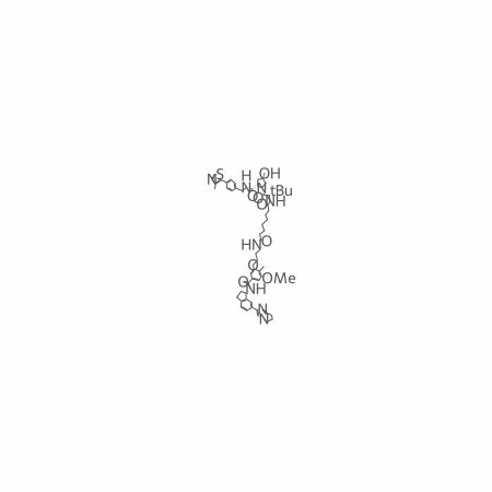 COc1cc(C(=O)N[C@@H]2CCc3ccc(-c4cn5c(n4)CCC5)cc32)cc(OCCCNC(=O)CCCCCCC(=O)N[C@H](C(=O)N2C[C@H](O)C[C@H]2C(=O)NCc2ccc(-c3scnc3C)cc2)C(C)(C)C)c1C